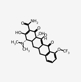 CN(C)[C@@H]1C(O)=C(C(N)=O)C(=O)[C@@]2(O)C(O)=C3C(=O)c4c(cccc4OC(F)(F)F)CC3CC12